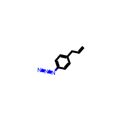 C=CCc1ccc(N=[N+]=[N-])cc1